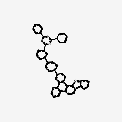 C1=CCC(c2nc(-c3ccccc3)nc(-c3cccc(-c4ccc(-c5ccc6c(c5)c5ccccc5c5ccc7c8ccccc8oc7c56)cc4)c3)n2)C=C1